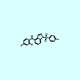 Cc1ccc(S(=O)(=O)n2ncc3c(Nc4ccc(I)cc4F)cccc32)cc1